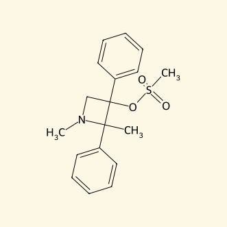 CN1CC(OS(C)(=O)=O)(c2ccccc2)C1(C)c1ccccc1